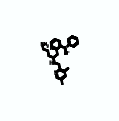 Cc1cnc(CNC(CCCN)Cc2ncccc2[S+]([O-])c2ccccc2)c(C)c1